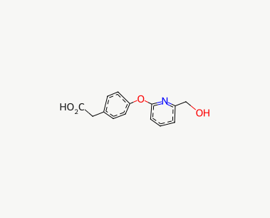 O=C(O)Cc1ccc(Oc2cccc(CO)n2)cc1